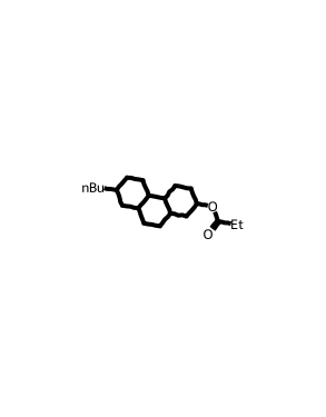 CCCCC1CCC2C(CCC3CC(OC(=O)CC)CCC32)C1